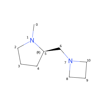 CN1CCC[C@@H]1CN1CCC1